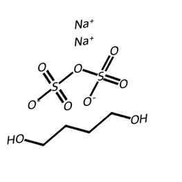 O=S(=O)([O-])OS(=O)(=O)[O-].OCCCCO.[Na+].[Na+]